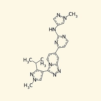 CC(C)c1nn(C)cc1-c1nnc2cc(-c3ccnc(Nc4cnn(C)c4)n3)ccn12